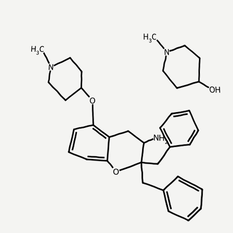 CN1CCC(O)CC1.CN1CCC(Oc2cccc3c2CC(N)C(Cc2ccccc2)(Cc2ccccc2)O3)CC1